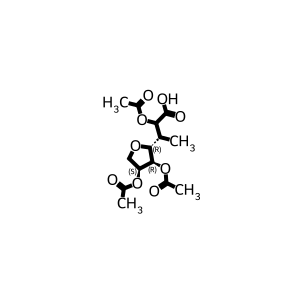 CC(=O)OC(C(=O)O)C(C)[C@H]1OC[C@H](OC(C)=O)[C@@H]1OC(C)=O